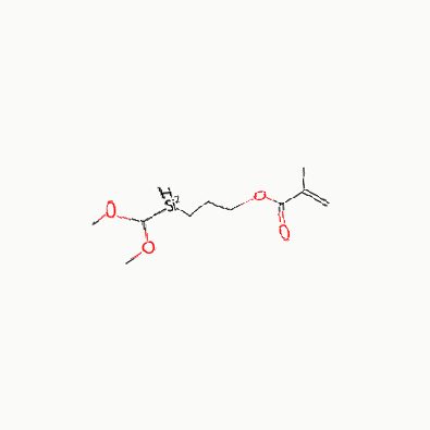 C=C(C)C(=O)OCCC[SiH2]C(OC)OC